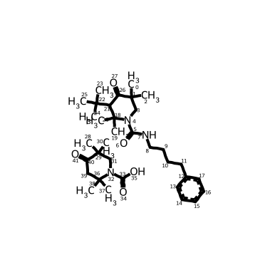 CC1(C)CN(C(=O)NCCCCc2ccccc2)C(C)(C)C(C(C)(C)C)C1=O.CC1(C)CN(C(=O)O)C(C)(C)CC1=O